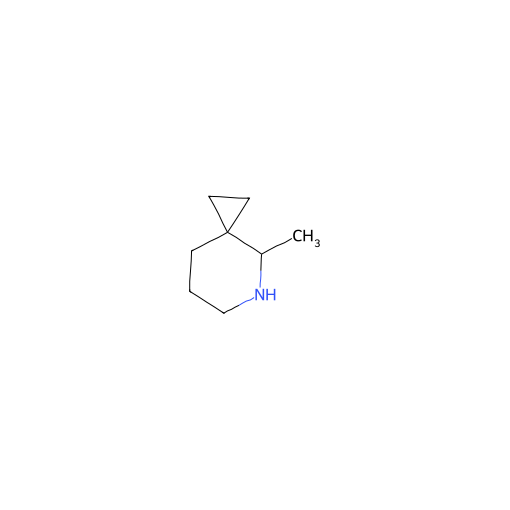 CC1NCCCC12CC2